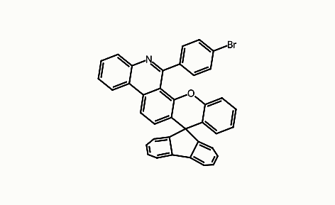 Brc1ccc(-c2nc3ccccc3c3ccc4c(c23)Oc2ccccc2C42c3ccccc3-c3ccccc32)cc1